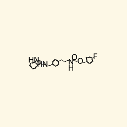 O=C(COCc1ccc(F)cc1)NCCCc1ccc(CNCc2c[nH]c3ccccc23)cc1